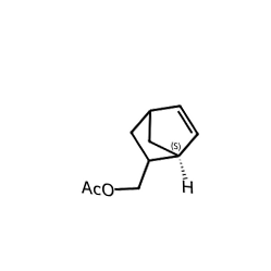 CC(=O)OCC1CC2C=C[C@@H]1C2